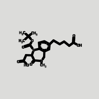 CN1Cc2cc(CCCCC(=O)O)ccc2N(C(=O)OC(C)(C)C)C(CC(=O)O)C1=O